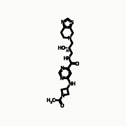 CC(=O)N1CC(Nc2cc(C(=O)NC[C@H](O)CN3CCc4ncsc4C3)ncn2)C1